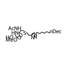 CCCCCCCCCCCCCCCCn1cc(CCSC[C@H](NC(C)=O)C(=O)N[C@@H](CO)C(=O)OC)nn1